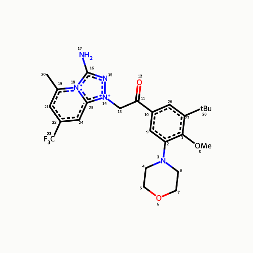 COc1c(N2CCOCC2)cc(C(=O)C[n+]2nc(N)n3c(C)cc(C(F)(F)F)cc32)cc1C(C)(C)C